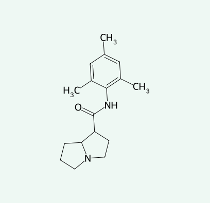 Cc1cc(C)c(NC(=O)C2CCN3CCCC23)c(C)c1